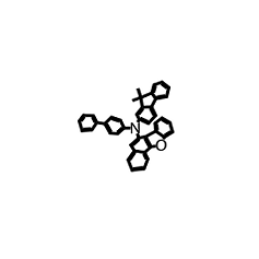 CC1(C)c2ccccc2-c2ccc(N(c3ccc(-c4ccccc4)cc3)c3cc4ccccc4c4oc5ccccc5c34)cc21